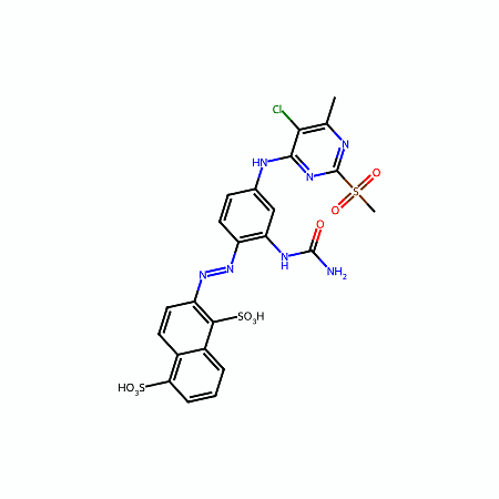 Cc1nc(S(C)(=O)=O)nc(Nc2ccc(N=Nc3ccc4c(S(=O)(=O)O)cccc4c3S(=O)(=O)O)c(NC(N)=O)c2)c1Cl